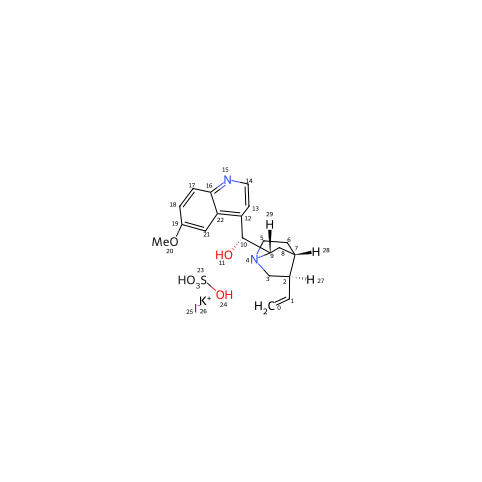 C=C[C@H]1CN2CC[C@H]1C[C@H]2[C@H](O)c1ccnc2ccc(OC)cc12.O=S(=O)(O)O.[I-].[K+]